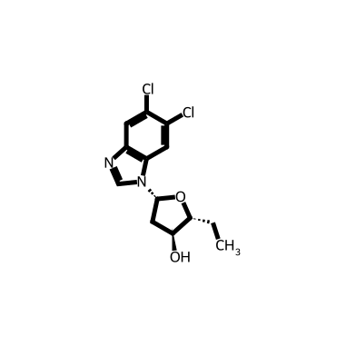 CC[C@H]1O[C@@H](n2cnc3cc(Cl)c(Cl)cc32)C[C@@H]1O